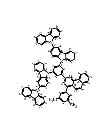 FC(F)(F)c1cc(-c2nc(-c3cc(-n4c5ccccc5c5cc(-n6c7ccccc7c7ccccc76)ccc54)cc(-n4c5ccccc5c5cc(-n6c7ccccc7c7ccccc76)ccc54)c3)nc3c2ccc2ccccc23)cc(C(F)(F)F)c1